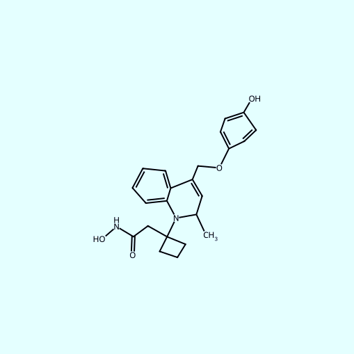 CC1C=C(COc2ccc(O)cc2)c2ccccc2N1C1(CC(=O)NO)CCC1